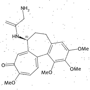 C=C(CN)N[C@H]1CCc2cc(OC)c(OC)c(OC)c2-c2ccc(OC)c(=O)cc21